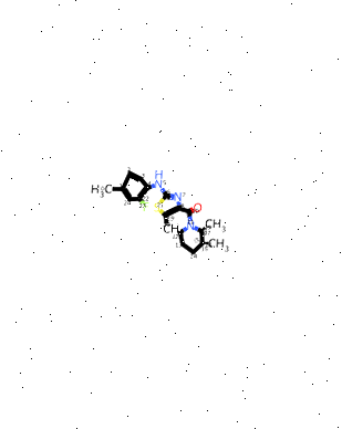 Cc1ccc(Nc2nc(C(=O)N3CCC[C@H](C)[C@@H]3C)c(C)s2)c(F)c1